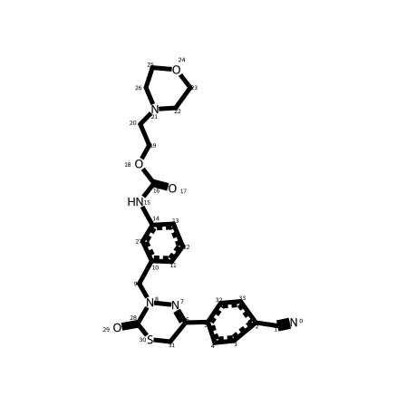 N#Cc1ccc(C2=NN(Cc3cccc(NC(=O)OCCN4CCOCC4)c3)C(=O)SC2)cc1